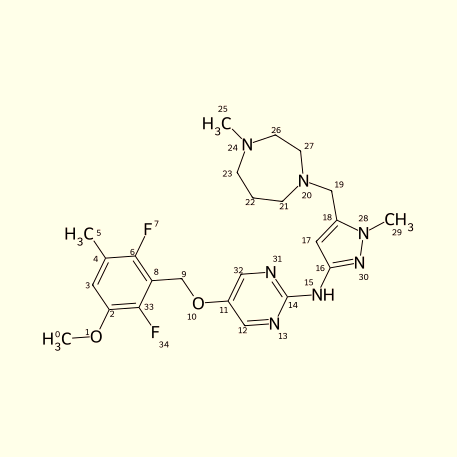 COc1cc(C)c(F)c(COc2cnc(Nc3cc(CN4CCCN(C)CC4)n(C)n3)nc2)c1F